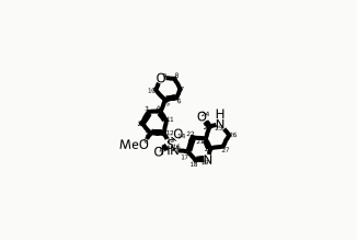 COc1ccc(C2=CCCOC2)cc1S(=O)(=O)Nc1cnc2c(c1)C(=O)NCC2